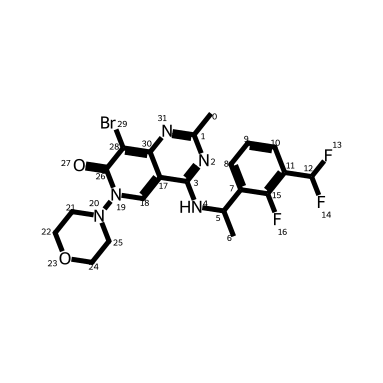 Cc1nc(NC(C)c2cccc(C(F)F)c2F)c2cn(N3CCOCC3)c(=O)c(Br)c2n1